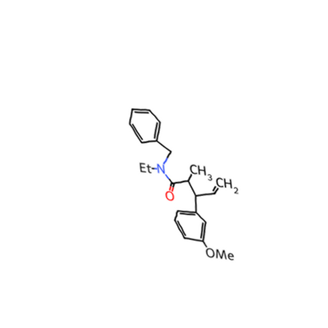 C=CC(c1cccc(OC)c1)C(C)C(=O)N(CC)Cc1ccccc1